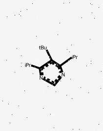 CC(C)c1ncnc(C(C)C)c1C(C)(C)C